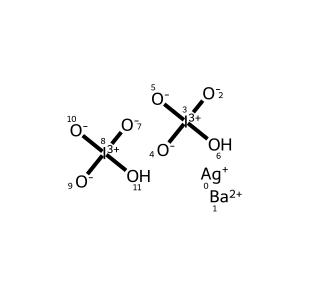 [Ag+].[Ba+2].[O-][I+3]([O-])([O-])O.[O-][I+3]([O-])([O-])O